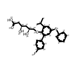 CC(C)c1cc(Sc2ccccc2)cc(-c2ccc(F)cc2)c1OC[C@@H](O)C[C@@H](O)CC(=O)O